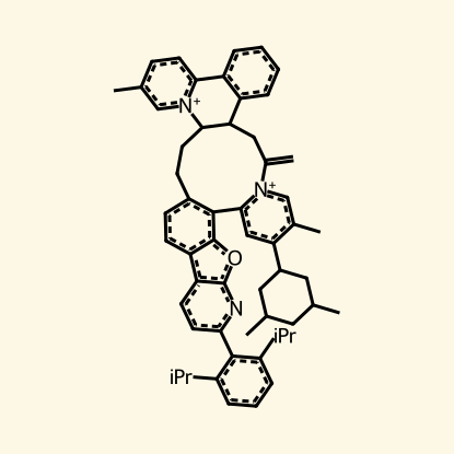 C=C1CC2c3ccccc3-c3ccc(C)c[n+]3C2CCc2ccc3c(oc4nc(-c5c(C(C)C)cccc5C(C)C)ccc43)c2-c2cc(C3CC(C)CC(C)C3)c(C)c[n+]21